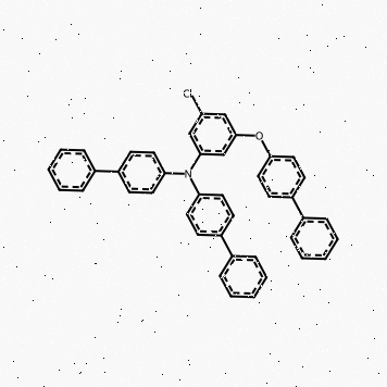 Clc1cc(Oc2ccc(-c3ccccc3)cc2)cc(N(c2ccc(-c3ccccc3)cc2)c2ccc(-c3ccccc3)cc2)c1